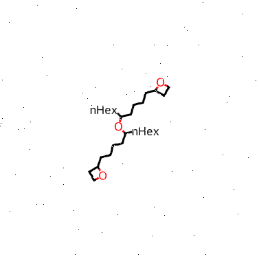 CCCCCCC(CCCCC1CCO1)OC(CCCCCC)CCCCC1CCO1